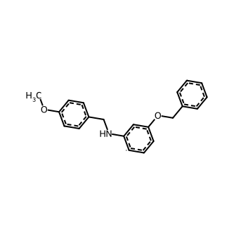 COc1ccc(CNc2[c]ccc(OCc3ccccc3)c2)cc1